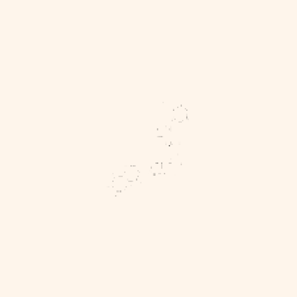 O=C(NC1(c2ccccc2F)CCCC1)N1CCC2(CCn3nc(-c4cnc5ccccc5c4)cc32)C1